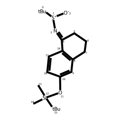 CC(C)(C)[S+]([O-])N=C1CCCc2cc(O[Si](C)(C)C(C)(C)C)ccc21